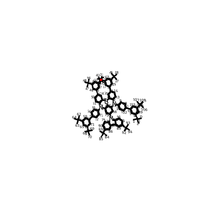 CC(C)(C)c1cc(-c2ccc(N3c4ccc(-c5cc(C(C)(C)C)cc(C(C)(C)C)c5)cc4B4c5cc(-c6cc(C(C)(C)C)cc(C(C)(C)C)c6)ccc5N(c5ccc(-c6cc(C(C)(C)C)cc(C(C)(C)C)c6)cc5)c5cc(-n6c7ccc(C(C)(C)C)cc7c7cc(C(C)(C)C)ccc76)cc3c54)cc2)cc(C(C)(C)C)c1